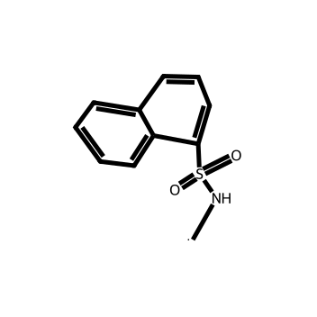 [CH2]NS(=O)(=O)c1cccc2ccccc12